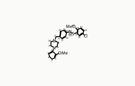 COC1=CCCC=C1N1CCN(Cc2ccc(NSc3cc(Cl)ccc3OC)cc2)CC1